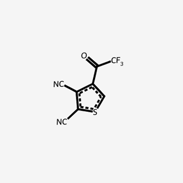 N#Cc1scc(C(=O)C(F)(F)F)c1C#N